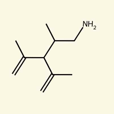 C=C(C)C(C(=C)C)C(C)CN